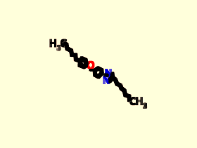 CCCCCCCCCc1cnc([C@H]2CC[C@H](COc3ccc(CCCCCCC)cc3)CC2)nc1